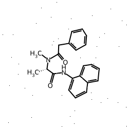 C[C@@H](C(=O)Nc1cccc2ccccc12)N(C)C(=O)Cc1ccccc1